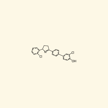 Oc1ccc(-c2ccc(C3=NC(c4ccccc4Cl)CC3)cc2)cc1Cl